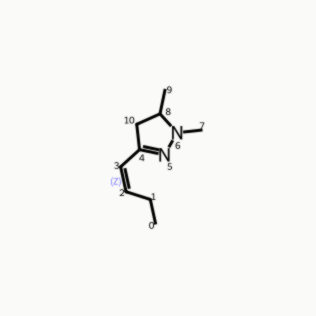 CC/C=C\C1=NN(C)C(C)C1